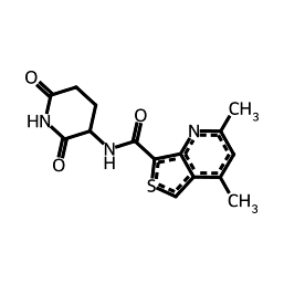 Cc1cc(C)c2csc(C(=O)NC3CCC(=O)NC3=O)c2n1